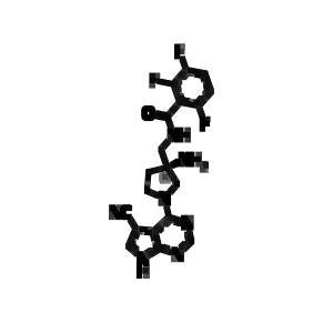 N#Cc1c[nH]c2ncnc(N3CC[C@](N)(CNC(=O)c4c(F)ccc(F)c4F)C3)c12